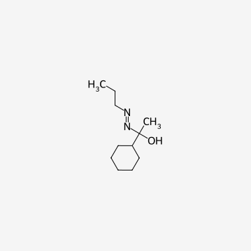 CCCN=NC(C)(O)C1CCCCC1